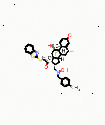 Cc1ccc(CN(O)C[C@@H]2C[C@H]3[C@@H]4C[C@H](F)C5=CC(=O)C=C[C@]5(C)[C@@]4(F)[C@@H](O)C[C@]3(C)[C@H]2C(=O)CSc2nc3ccccc3s2)cc1